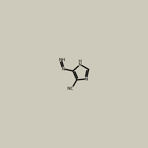 N#Cc1nc[nH]c1N=N